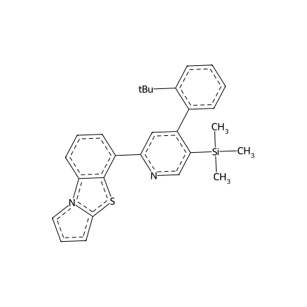 CC(C)(C)c1ccccc1-c1cc(-c2cccc3c2sc2cccn23)ncc1[Si](C)(C)C